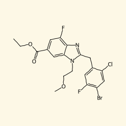 CCOC(=O)c1cc(F)c2nc(Cc3cc(F)c(Br)cc3Cl)n(CCOC)c2c1